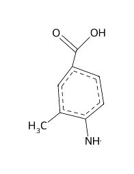 Cc1cc(C(=O)O)ccc1[NH]